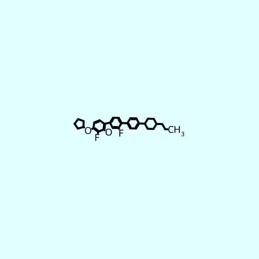 CCCC1CCC(c2ccc(-c3ccc4c(oc5c(F)c(OC6CCCC6)ccc54)c3F)cc2)CC1